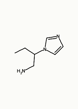 CCC(CN)n1ccnc1